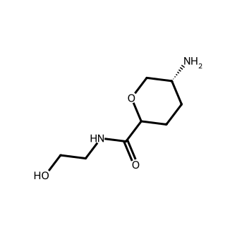 N[C@@H]1CCC(C(=O)NCCO)OC1